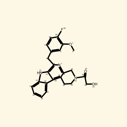 COc1cc(Cc2nc3c(c4c2[nH]c2ccccc24)CCN(C(=O)CO)C3)ccc1F